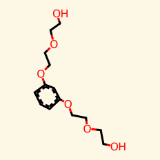 OCCOCCOc1cccc(OCCOCCO)c1